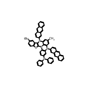 Cc1cc2c3c(c1)N(c1ccc4cc5ccccc5cc4c1)c1c(sc4ccc(C(C)(C)C)cc14)B3c1ccc(N(c3ccccc3)c3ccccc3)cc1N2c1ccc2cc3ccccc3cc2c1